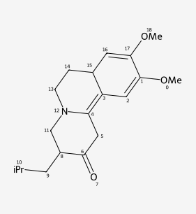 COC1=CC2=C3CC(=O)C(CC(C)C)CN3CCC2C=C1OC